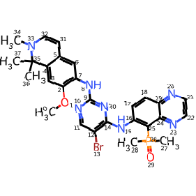 COc1cc2c(cc1Nc1ncc(Br)c(Nc3ccc4nccnc4c3P(C)(C)=O)n1)C=CN(C)C2(C)C